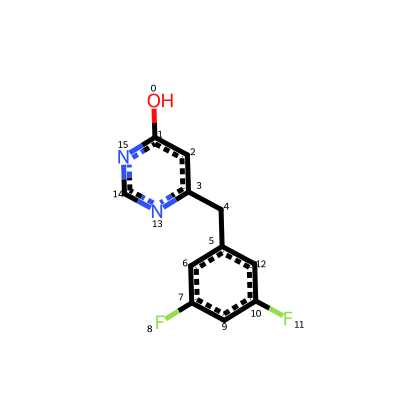 Oc1cc(Cc2cc(F)cc(F)c2)ncn1